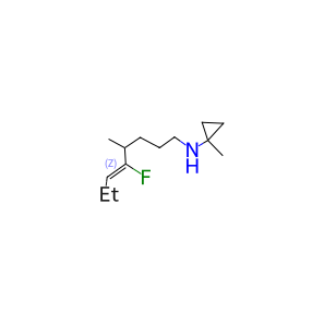 CC/C=C(\F)C(C)CCCNC1(C)CC1